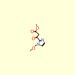 COCn1ccnc1C(=O)CC(=O)OC